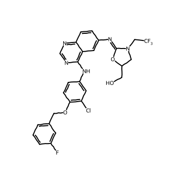 OCC1CN(CC(F)(F)F)C(=Nc2ccc3ncnc(Nc4ccc(OCc5cccc(F)c5)c(Cl)c4)c3c2)O1